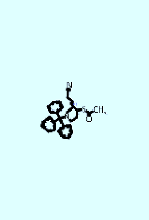 CC(=O)SC1CCN(C(c2ccccc2)(c2ccccc2)c2ccccc2)C/C1=C\CC#N